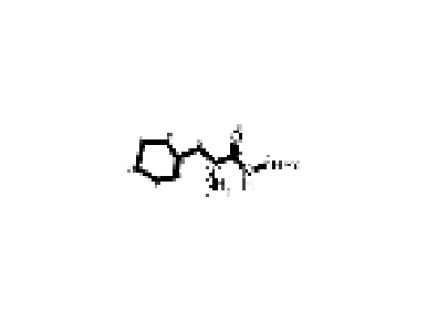 CCCCCCNC(=O)[C@@H](N)CC1CCCCC1